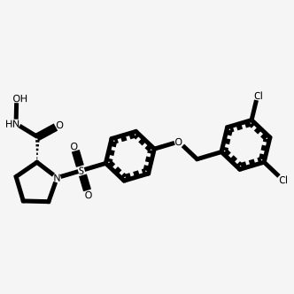 O=C(NO)[C@H]1CCCN1S(=O)(=O)c1ccc(OCc2cc(Cl)cc(Cl)c2)cc1